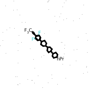 CCCC1CCC(C2CCC(C3CCC(c4cc(F)c(C#CC(F)(F)F)c(F)c4)CC3)CC2)CC1